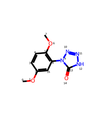 COc1ccc(OC)c(-n2nn[nH]c2=O)c1